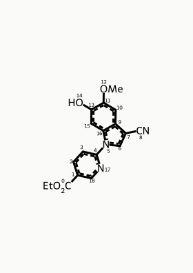 CCOC(=O)c1ccc(-n2cc(C#N)c3cc(OC)c(O)cc32)nc1